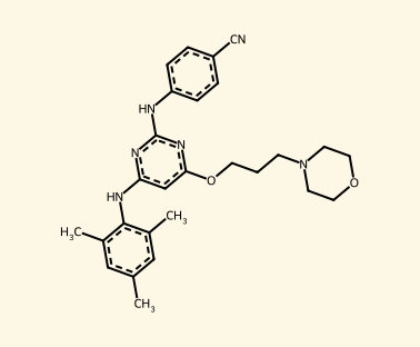 Cc1cc(C)c(Nc2cc(OCCCN3CCOCC3)nc(Nc3ccc(C#N)cc3)n2)c(C)c1